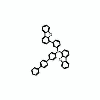 c1ccc(-c2ccc(-c3ccc(N(c4cccc(-c5cccc6c5oc5ccccc56)c4)c4cccc5c4oc4ccccc45)cc3)cc2)cc1